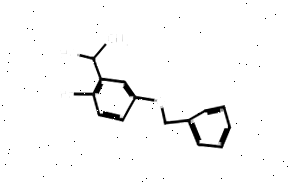 CC(O)c1cc(OCc2ccccc2)ccc1Br